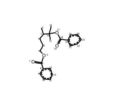 CC(CCCOC(=O)c1ccccc1)C(C)(C)OC(=O)c1ccccc1